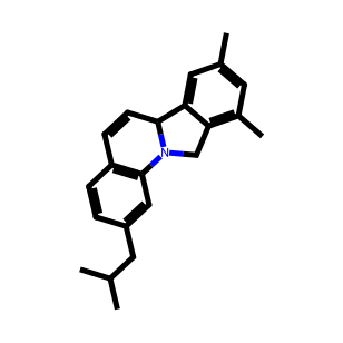 Cc1cc(C)c2c(c1)C1C=Cc3ccc(CC(C)C)cc3N1C2